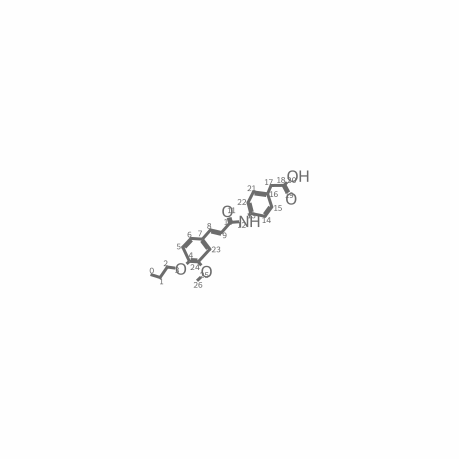 CCCOc1ccc(C=CC(=O)Nc2ccc(CC(=O)O)cc2)cc1OC